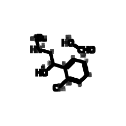 CC(C)(C)NCC(O)c1ccccc1Cl.O=CO